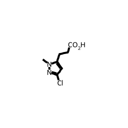 Cn1nc(Cl)cc1CCC(=O)O